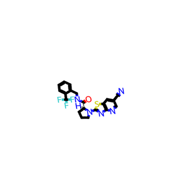 N#Cc1cnc2nc(N3CCC[C@@H]3C(=O)NCc3ccccc3C(F)(F)F)sc2c1